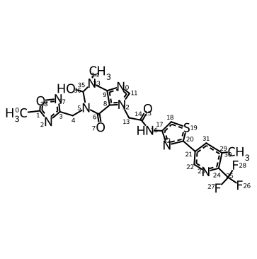 Cc1nc(CN2C(=O)c3c(ncn3CC(=O)Nc3csc(-c4cnc(C(F)(F)F)c(C)c4)n3)N(C)C2O)no1